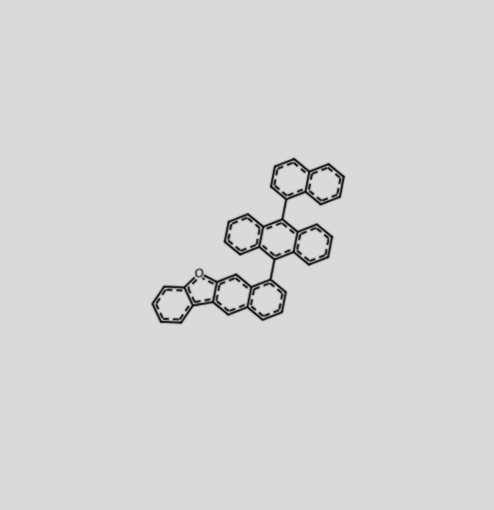 c1ccc2c(-c3c4ccccc4c(-c4cccc5cc6c(cc45)oc4ccccc46)c4ccccc34)cccc2c1